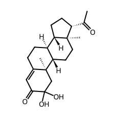 CC(=O)[C@H]1CC[C@H]2[C@@H]3CCC4=CC(=O)C(O)(O)C[C@]4(C)[C@H]3CC[C@]12C